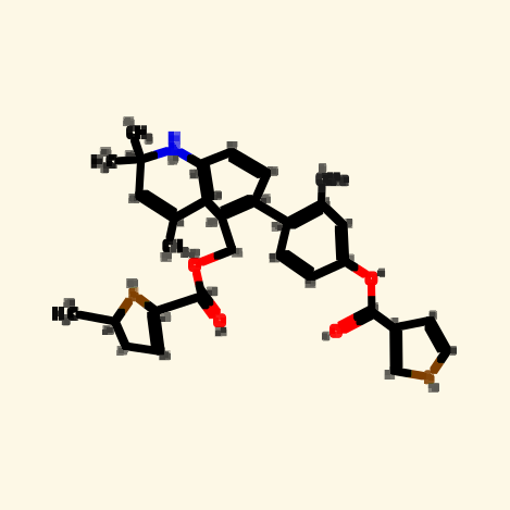 COc1cc(OC(=O)c2ccsc2)ccc1-c1ccc2c(c1COC(=O)C1=CCC(C)S1)C(C)=CC(C)(C)N2